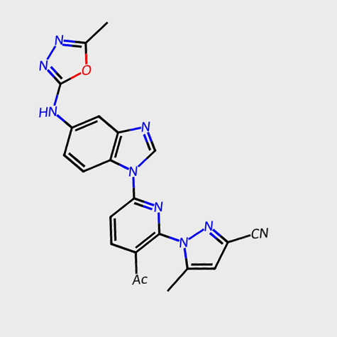 CC(=O)c1ccc(-n2cnc3cc(Nc4nnc(C)o4)ccc32)nc1-n1nc(C#N)cc1C